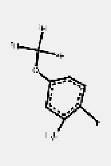 [2H]C([2H])([2H])Oc1ccc(F)c(C(F)(F)F)c1